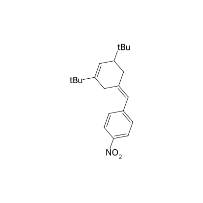 CC(C)(C)C1=CC(C(C)(C)C)CC(=Cc2ccc([N+](=O)[O-])cc2)C1